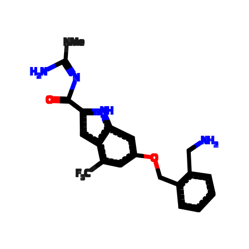 CNC(N)=NC(=O)c1cc2c(C(F)(F)F)cc(OCc3ccccc3CN)cc2[nH]1